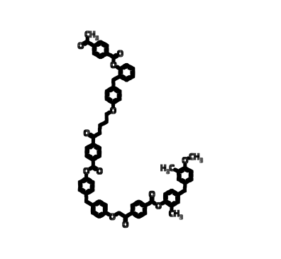 COc1ccc(Cc2ccc(OC(=O)c3ccc(C(=O)COc4ccc(Cc5ccc(OC(=O)c6ccc(C(=O)CCCCOc7ccc(Cc8ccccc8OC(=O)c8ccc(C(C)=O)cc8)cc7)cc6)cc5)cc4)cc3)c(C)c2)cc1C